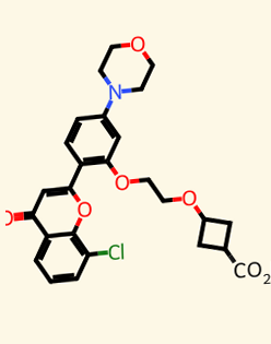 O=C(O)C1CC(OCCOc2cc(N3CCOCC3)ccc2-c2cc(=O)c3cccc(Cl)c3o2)C1